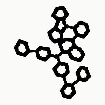 c1ccc(-c2ccc(N(c3ccc(-c4ccccc4-c4ccccc4)cc3)c3ccc(-c4ccccc4-n4c5ccccc5c5ccccc54)c4ccccc34)cc2)cc1